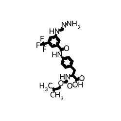 CC(C)COC(=O)NC(Cc1ccc(NC(=O)c2cc(NC=NN)cc(C(F)(F)F)c2)cc1)C(=O)O